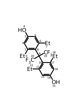 CCc1cc(O)cc(CC)c1C(c1c(CC)cc(O)cc1CC)(C(F)(F)F)C(F)(F)F